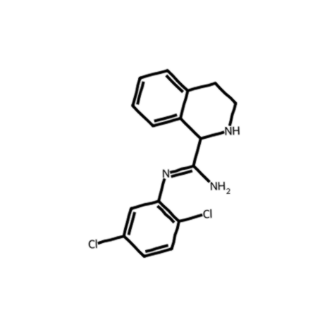 NC(=Nc1cc(Cl)ccc1Cl)C1NCCc2ccccc21